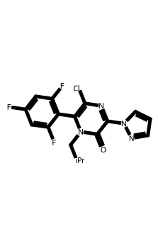 CC(C)Cn1c(-c2c(F)cc(F)cc2F)c(Cl)nc(-n2cccn2)c1=O